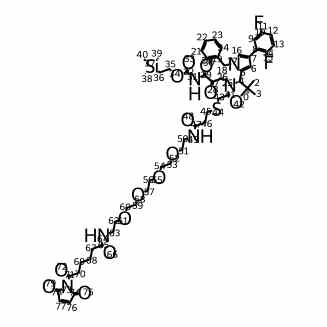 CC(C)(C)[C@H](c1cc(-c2cc(F)ccc2F)cn1Cc1ccccc1)N(CC(=O)C(=O)NC(=O)OCC[Si](C)(C)C)C(=O)CSCCC(=O)NCCOCCOCCOCCOCCNC(=O)CCCCC(=O)N1C(=O)C=CC1=O